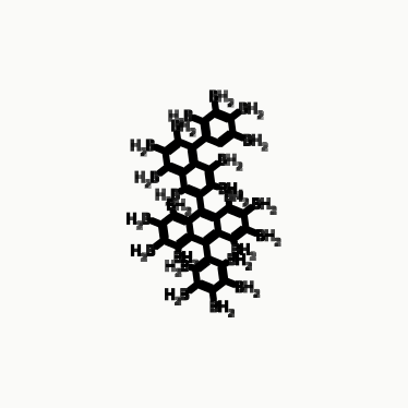 Bc1cc(-c2c(B)c(B)c(B)c3c(B)c(-c4c5c(B)c(B)c(B)c(B)c5c(-c5c(B)c(B)c(B)c(B)c5B)c5c(B)c(B)c(B)c(B)c45)c(B)c(B)c23)c(B)c(B)c1B